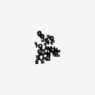 CCOC(=O)C1=C(CN2CCOCC2COC=O)NC(c2nccs2)=NC1c1ccc(F)cc1Cl